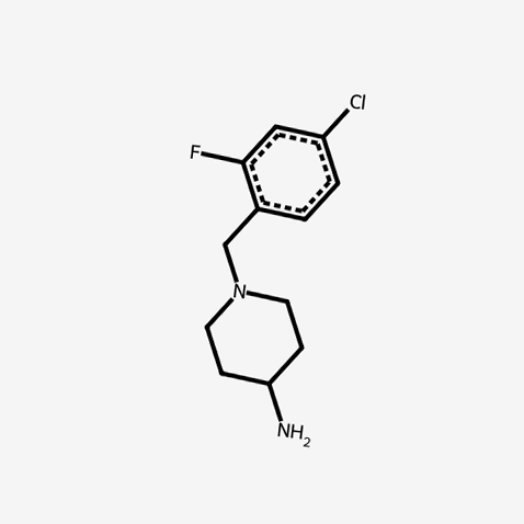 NC1CCN(Cc2ccc(Cl)cc2F)CC1